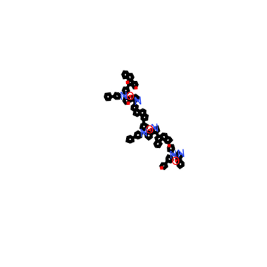 c1ccc(-c2ccc(N(c3ccc(-c4ccc5ccc6c(-c7ccnc8oc9c(N(c%10ccc(-c%11ccccc%11)cc%10)c%10ccc(-c%11ccc%12ccc%13c%14cc(-c%15nccc%16oc%17c(N(c%18ccc(-c%19ccccc%19)cc%18)c%18ccc(-c%19cc%20c%21ccccc%21ccc%20c%20ccccc%19%20)cc%18)cccc%17c%15%16)ccc%14ccc%13c%12c%11)cc%10)cccc9c78)cc7ccccc7c6c5c4)cc3)c3cncc4c3oc3ccccc34)cc2)cc1